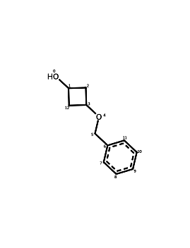 OC1CC(OCc2ccccc2)C1